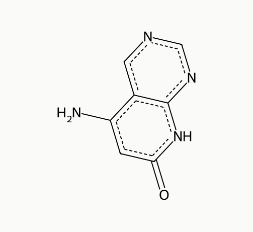 Nc1cc(=O)[nH]c2ncncc12